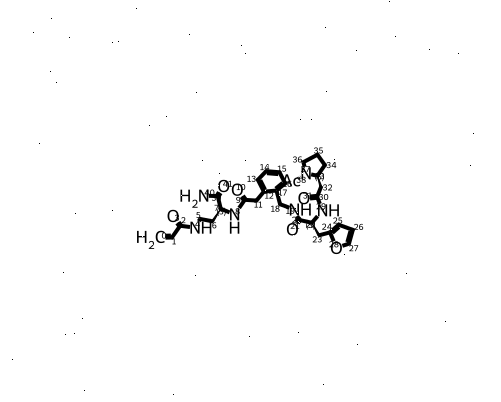 C=CC(=O)NCC[C@H](NC(=O)Cc1ccccc1CNC(=O)[C@H](Cc1ccco1)NC(=O)C[C@@H]1CCCN1C(C)=O)C(N)=O